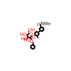 CNC(=O)c1cccc(-c2ccc(O[C@H]3O[C@H](CO)[C@@H](O)[C@H](O)C3(O)COCc3ccccc3)c(C)c2)c1